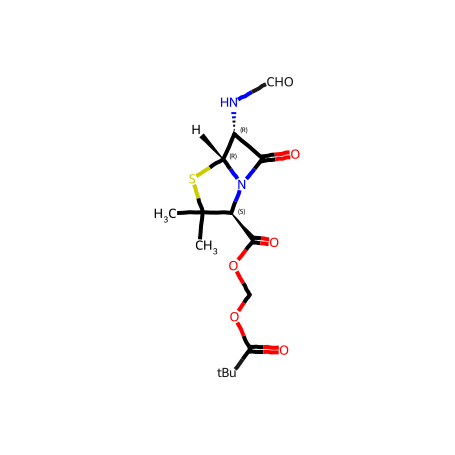 CC(C)(C)C(=O)OCOC(=O)[C@@H]1N2C(=O)[C@@H](NC=O)[C@H]2SC1(C)C